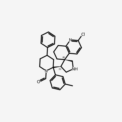 Cc1cccc(C2([C@@H]3CNC[C@]34CCCc3nc(Cl)ccc34)CC(c3ccccc3)CCN2C=O)c1